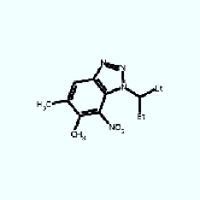 CCC(CC)n1nnc2cc(C)c(C)c([N+](=O)[O-])c21